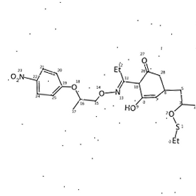 CCSOC(C)CC1C=C(O)C(C(CC)=NOCC(C)Oc2ccc([N+](=O)[O-])cc2)C(=O)C1